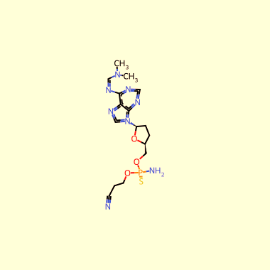 CN(C)/C=N\c1ncnc2c1ncn2[C@H]1CC[C@@H](COP(N)(=S)OCCC#N)O1